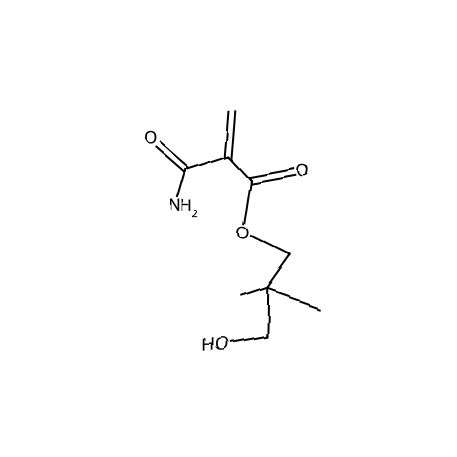 C=C(C(N)=O)C(=O)OCC(C)(C)CO